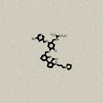 CC(NCc1cc(Cl)c(OCc2cccc(-c3cccc(NCCCN4CCCC4)c3C=N)c2Br)cc1OCc1cncc(C#N)c1)C(=O)O